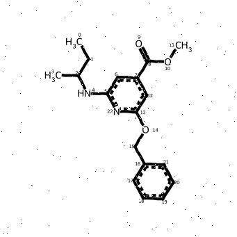 CCC(C)Nc1cc(C(=O)OC)cc(OCc2ccccc2)n1